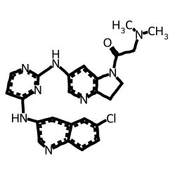 CN(C)CC(=O)N1CCc2ncc(Nc3nccc(Nc4cnc5ccc(Cl)cc5c4)n3)cc21